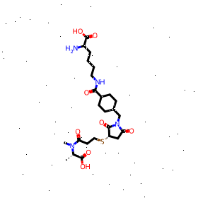 C[C@@H](C(=O)O)N(C)C(=O)CCS[C@H]1CC(=O)N(CC2CCC(C(=O)NCCCCC(N)C(=O)O)CC2)C1=O